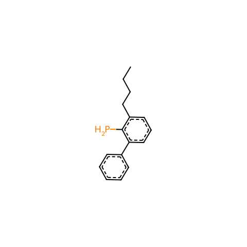 CCCCc1cccc(-c2ccccc2)c1P